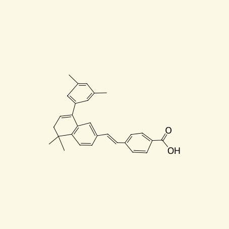 Cc1cc(C)cc(C2=CCC(C)(C)c3ccc(C=Cc4ccc(C(=O)O)cc4)cc32)c1